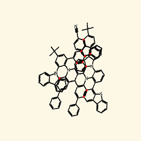 CC(C)(C)c1cc(-c2ccc3sc4ccc(C(C)(C)C)cc4c3c2)c(N2c3ccc(-c4ccccc4)cc3C3c4cc(-c5ccccc5)ccc4N(c4c(-c5cccc6c5sc5ccccc56)cccc4-n4c5ccccc5c5ccccc54)c4cc(-n5c6ccccc6c6cc(C#N)ccc65)cc2c43)c(-n2c3ccccc3c3ccccc32)c1